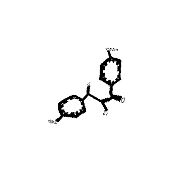 CCC(C(=O)c1ccc(OC)cc1)C(=O)c1ccc(C(C)(C)C)cc1